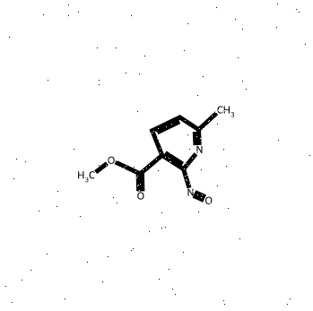 COC(=O)c1ccc(C)nc1N=O